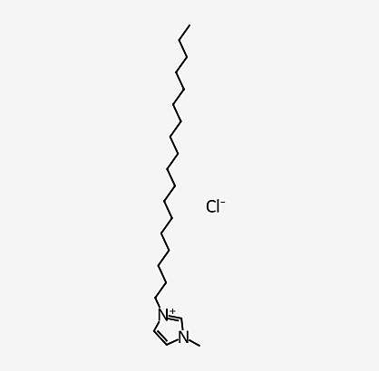 CCCCCCCCCCCCCCCCCC[n+]1ccn(C)c1.[Cl-]